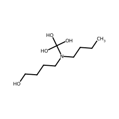 CCCCN(CCCCO)C(O)(O)O